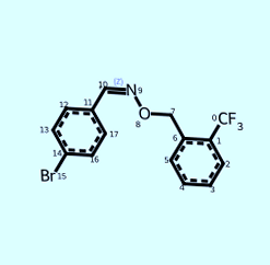 FC(F)(F)c1ccccc1CO/N=[C]\c1ccc(Br)cc1